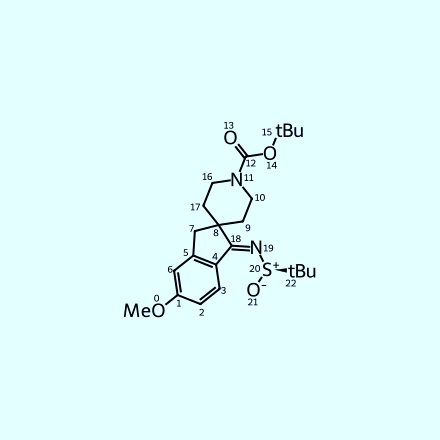 COc1ccc2c(c1)CC1(CCN(C(=O)OC(C)(C)C)CC1)/C2=N/[S@+]([O-])C(C)(C)C